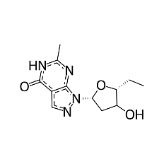 CC[C@H]1O[C@@H](n2ncc3c(=O)[nH]c(C)nc32)CC1O